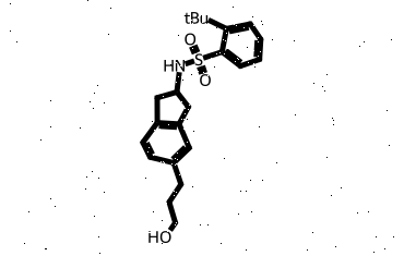 CC(C)(C)c1ccccc1S(=O)(=O)NC1Cc2ccc(CCCO)cc2C1